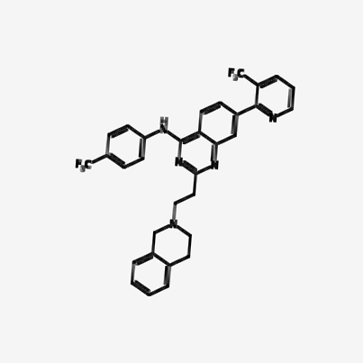 FC(F)(F)c1ccc(Nc2nc(CCN3CCc4ccccc4C3)nc3cc(-c4ncccc4C(F)(F)F)ccc23)cc1